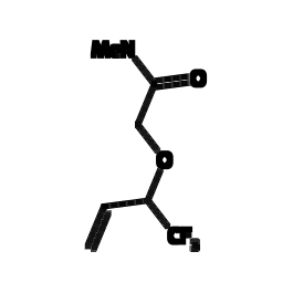 C=CC(OCC(=O)NC)C(F)(F)F